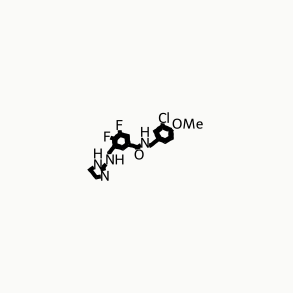 COc1ccc(CNC(=O)c2cc(F)c(F)c(CNC3=NCCN3)c2)cc1Cl